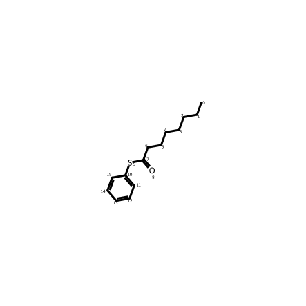 CCCCCCCC(=O)Sc1ccccc1